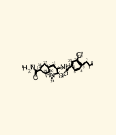 CCCc1ccc(C(=O)NC(CC2CCC(C(N)=O)CC2)C(=O)NC)cc1Cl